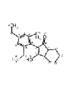 CCc1cc(C)c(C2=C(O)C3CCCCC3C2=O)c(CC)c1